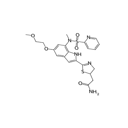 COCCOc1cc(N(C)S(=O)(=O)c2ccccn2)c2[nH]c(C3=NCC(CC(N)=O)S3)cc2c1